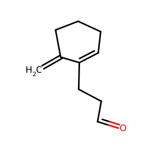 C=C1CCCC=C1CCC=O